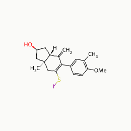 C=C1C(c2ccc(OC)c(C)c2)=C(SI)C[C@@]2(C)C[C@@H](O)C[C@H]12